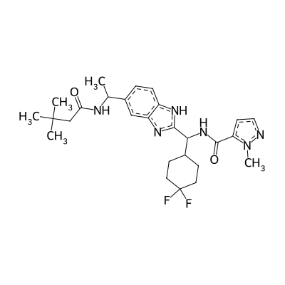 CC(NC(=O)CC(C)(C)C)c1ccc2[nH]c(C(NC(=O)c3ccnn3C)C3CCC(F)(F)CC3)nc2c1